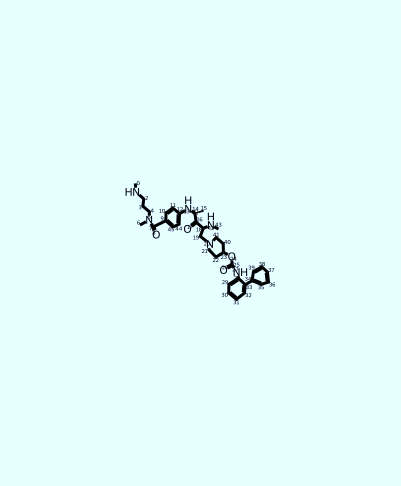 CNCCCN(C)C(=O)c1ccc(N[C@@H](C)C(=O)C(CN2CCC(OC(=O)Nc3ccccc3-c3ccccc3)CC2)NC)cc1